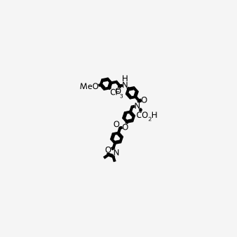 COc1ccc(CC(=O)Nc2ccc(C(=O)N(CC(=O)O)Cc3ccc(OC(=O)c4ccc(-c5nc(C)c(C)o5)cc4)cc3)cc2)c(C(F)(F)F)c1